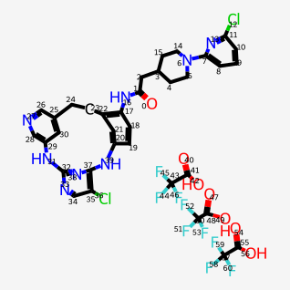 O=C(CC1CCN(c2cccc(Cl)n2)CC1)Nc1ccc2cc1CCc1cncc(c1)Nc1ncc(Cl)c(n1)N2.O=C(O)C(F)(F)F.O=C(O)C(F)(F)F.O=C(O)C(F)(F)F